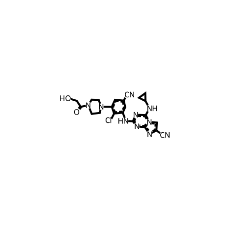 N#Cc1cc(Nc2nc(NC3CC3)n3cc(C#N)nc3n2)c(Cl)c(N2CCN(C(=O)CO)CC2)c1